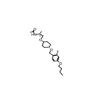 CCCCOc1ccc(CO[C@H]2CC[C@H](OC[C@H](C)NC(C)=O)CC2)c(F)c1